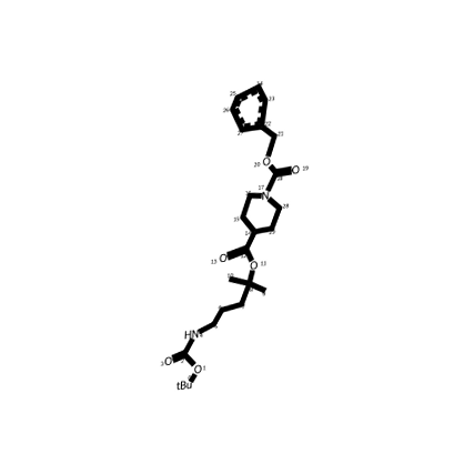 CC(C)(C)OC(=O)NCCCC(C)(C)OC(=O)C1CCN(C(=O)OCc2ccccc2)CC1